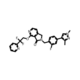 Cc1nn(C)cc1-c1ccc(CN2Cc3ccnc(OCC(F)(F)c4ccccn4)c3C2=O)c(F)c1